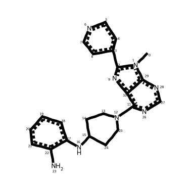 Cn1c(-c2ccncc2)nc2c(N3CCC(Nc4ccccc4N)CC3)ncnc21